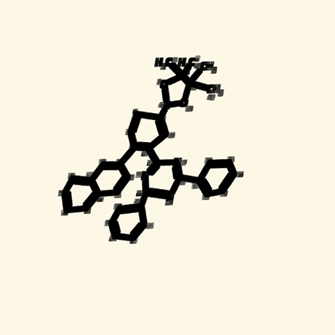 CC1(C)OB(c2ccc(-c3ccc4ccccc4c3)c(-c3nc(-c4ccccc4)nc(-c4ccccc4)n3)c2)OC1(C)C